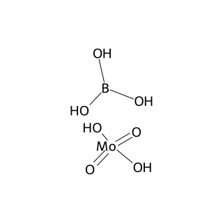 OB(O)O.[O]=[Mo](=[O])([OH])[OH]